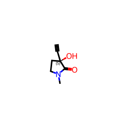 C#C[C@@]1(O)CCN(C)C1=O